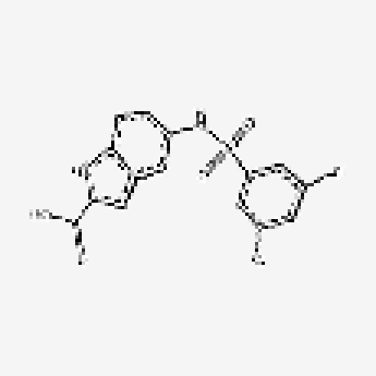 O=C(O)c1cc2cc(NS(=O)(=O)c3cc(Cl)cc(Cl)c3)ccc2[nH]1